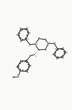 COc1ccc(CC[C@H]2CN(Cc3ccccc3)CCN2Cc2ccccc2)cc1